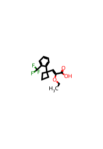 CCOC(=CC1(c2ccccc2C(F)(F)F)CCC1)C(=O)O